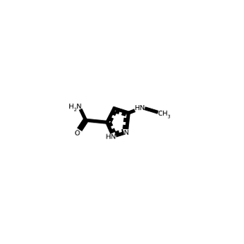 CNc1cc(C(N)=O)[nH]n1